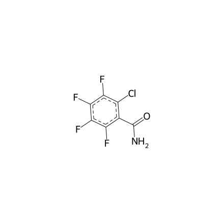 NC(=O)c1c(F)c(F)c(F)c(F)c1Cl